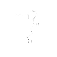 COc1cccc(NCCCCl)c1